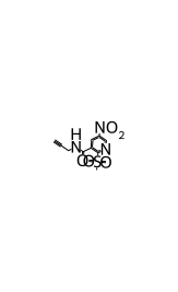 C#CCNC(=O)c1cc([N+](=O)[O-])cnc1S(C)(=O)=O